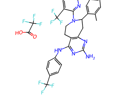 Cc1ccccc1C1Cc2nc(N)nc(Nc3ccc(C(F)(F)F)cc3)c2CCN1c1ncccc1C(F)(F)F.O=C(O)C(F)(F)F